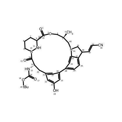 C[C@@H]1COC(=O)[C@@H]2CCCN(N2)C(=O)[C@@H](NC(=O)OC(C)(C)C)Cc2cc(O)cc(c2)-c2ccc3c(c2)N(CC3/C=C/C#N)C1